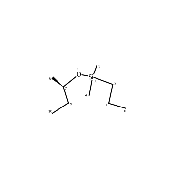 CCC[Si](C)(C)O[C@H](C)CC